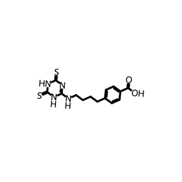 O=C(O)c1ccc(CCCCNc2nc(=S)[nH]c(=S)[nH]2)cc1